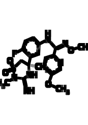 CO/N=C(/Nc1ccc(F)c([C@]2(C)CS(=O)(=O)N(C)C(=N)N2)c1)c1ccc(OC)cn1